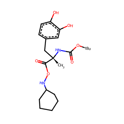 CC(C)(C)OC(=O)N[C@@](C)(Cc1ccc(O)c(O)c1)C(=O)ONC1CCCCC1